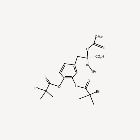 CCC(C)(C)C(=O)Oc1ccc(C[C@](NC(C)C)(OC(=O)OC)C(=O)O)cc1OC(=O)C(C)(C)CC